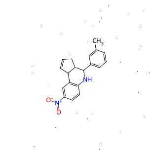 Cc1cccc(C2Nc3ccc([N+](=O)[O-])cc3C3C=CCC32)c1